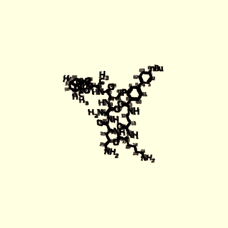 CCCCc1ccc(-c2ccc(C(=O)NCCC(=O)N[C@@H](CCCCN)C(=O)N[C@@H](CCCN)C(=O)N[C@@H](N)C(=O)N[C@@H](CC(C)C)C(=O)N[C@@H](C)B3OC4C[C@@H]5C[C@@H](C5(C)C)[C@]4(C)O3)cc2)cc1